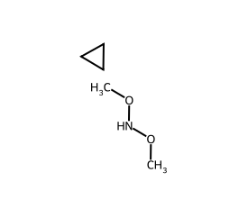 C1CC1.CONOC